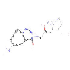 Nc1ccc2ncn(CC(=O)C[C@H]3NCC[C@@H]3O)c(=O)c2c1